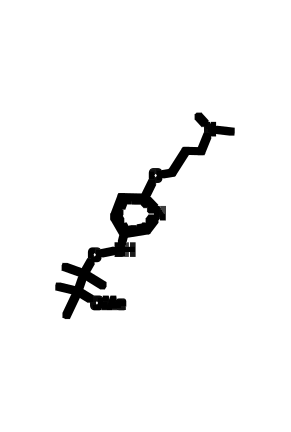 COC(C)(C)C(C)(C)OBc1ccc(OCCCN(C)C)nc1